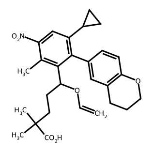 C=COC(CCC(C)(C)C(=O)O)c1c(C)c([N+](=O)[O-])cc(C2CC2)c1-c1ccc2c(c1)CCCO2